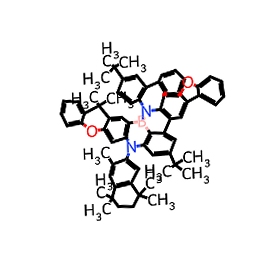 Cc1cc2c(cc1N1c3cc4c(cc3B3c5c(cc(C(C)(C)C)cc51)-c1cc5c(cc1N3c1ccc(C(C)(C)C)cc1-c1ccccc1)oc1ccccc15)C(C)(C)c1ccccc1O4)C(C)(C)CCC2(C)C